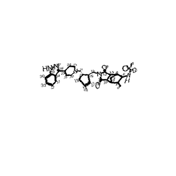 CC1C2CC(C1NS(C)(=O)=O)C1C(=O)N(C[C@H]3CCC[C@@H]3CN3CCC(c4n[nH]c5ccccc45)CC3)C(=O)C21